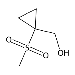 CS(=O)(=O)C1(CO)CC1